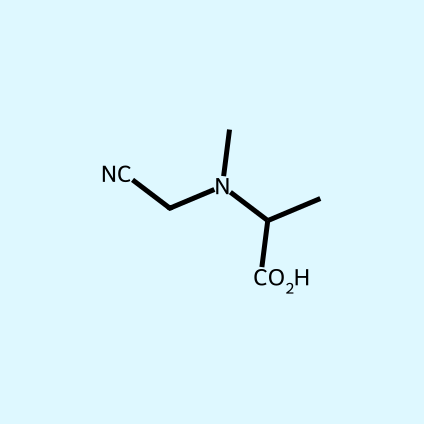 CC(C(=O)O)N(C)CC#N